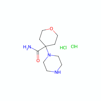 Cl.Cl.NC(=O)C1(N2CCNCC2)CCOCC1